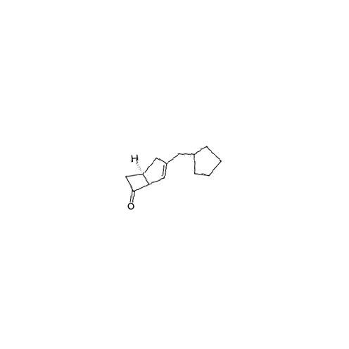 O=C1C[C@H]2CC(CC3CCCC3)=CC12